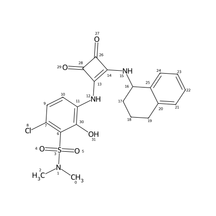 CN(C)S(=O)(=O)c1c(Cl)ccc(Nc2c(NC3CCCc4ccccc43)c(=O)c2=O)c1O